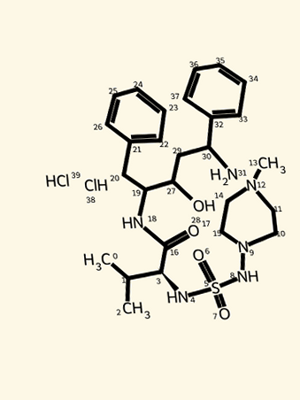 CC(C)[C@H](NS(=O)(=O)NN1CCN(C)CC1)C(=O)NC(Cc1ccccc1)C(O)CC(N)c1ccccc1.Cl.Cl